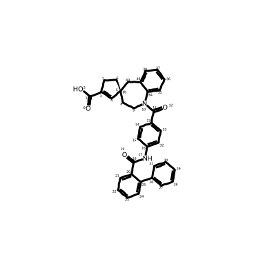 O=C(O)C1=C[C@@]2(CC1)CCN(C(=O)c1ccc(NC(=O)c3ccccc3-c3ccccc3)cc1)c1ccccc1C2